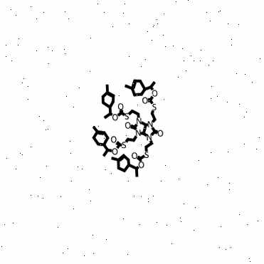 CC1=CCC(C(C)OC(=O)SCCN2C(=O)N(CCSC(=O)OC(C)C3CC=C(C)CC3)C3C2N(CCSC(=O)OC(C)C2CC=C(C)CC2)C(=O)N3CCSC(=O)OC(C)C2CC=C(C)CC2)CC1